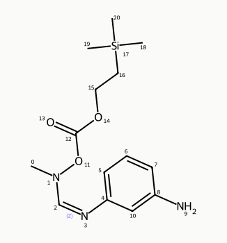 CN(/C=N\c1cccc(N)c1)OC(=O)OCC[Si](C)(C)C